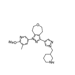 COc1ncc(-n2nc(-c3cnn(CC4CCCNC4)c3)c3c2CCOCC3)cc1C